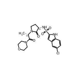 C[C@@H](C(=O)N1CCOCC1)N1CC[C@H](NS(=O)(=O)c2cc3cc(Cl)ccc3[nH]2)C1=O